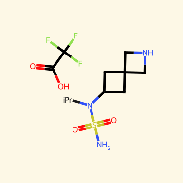 CC(C)N(C1CC2(CNC2)C1)S(N)(=O)=O.O=C(O)C(F)(F)F